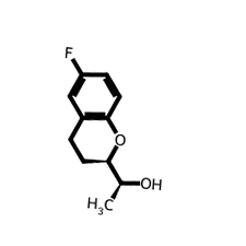 C[C@H](O)[C@H]1CCc2cc(F)ccc2O1